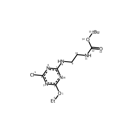 CCOc1nc(Cl)nc(NCCNC(=O)OC(C)(C)C)n1